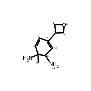 CC1(N)C=CC(C2COC2)=CC1N